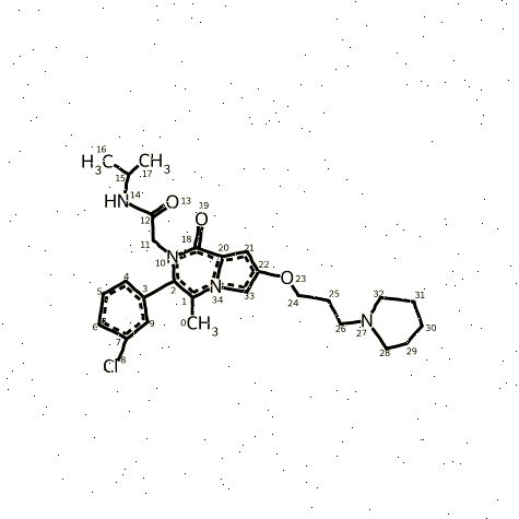 Cc1c(-c2cccc(Cl)c2)n(CC(=O)NC(C)C)c(=O)c2cc(OCCCN3CCCCC3)cn12